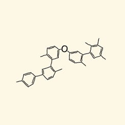 Cc1ccc(-c2ccc(C)c(-c3cc(Oc4ccc(C)c(-c5cc(C)cc(C)c5C)c4)ccc3C)c2)cc1